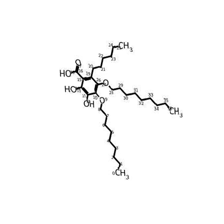 CCCCCCCCCOc1c(O)c(O)c(C(=O)O)c(CCCCCC)c1OCCCCCCCCC